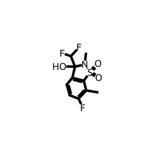 Cc1c(F)ccc2c1S(=O)(=O)N(C)C2(O)C(F)F